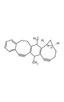 CC1C2=C(CCc3ccccc3C#C2)C(C)C2=C1C#CCC[C@@H]1C[C@H]21